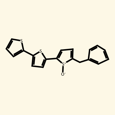 [O-][s+]1c(Cc2ccccc2)ccc1-c1ccc(-c2cccs2)s1